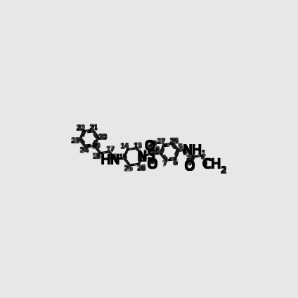 C=CC(=O)Nc1ccc(S(=O)(=O)N2CCC(NCCc3ccccc3)CC2)cc1